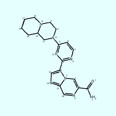 NC(=O)c1cn2c(-c3nccc(N4CCN5CCCCC5C4)n3)cnc2cn1